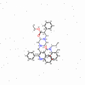 CCCN(C(=O)c1c(CN2CCN(CC(C(=O)OCC)c3ccccc3)CC2)c(-c2ccccc2)nc2ccccc12)c1ccccc1C